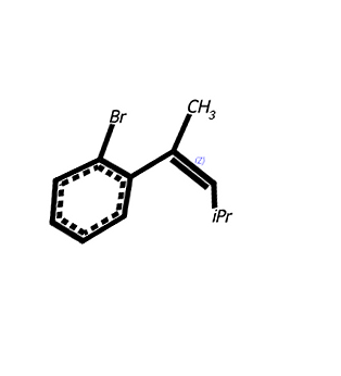 C/C(=C/C(C)C)c1ccccc1Br